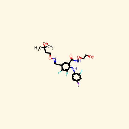 CC(C)(O)CCON=Cc1cc(C(=O)NOCCO)c(Nc2ccc(I)cc2F)c(F)c1F